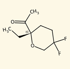 CC[C@@]1(C(C)=O)CCC(F)(F)CO1